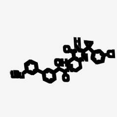 CC(C)(C)c1cccc(-c2cccc([C@@H](O)C(=O)N3CCc4nc(C5(c6cccc(Cl)c6)CC5)[nH]c(=O)c4C3)c2)c1